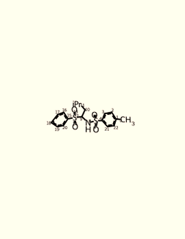 Cc1ccc(S(=O)(=O)NC(CC(C)C)S(=O)(=O)c2ccccc2)cc1